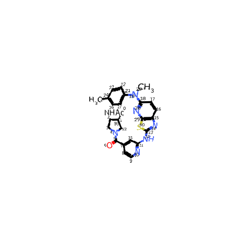 CC(=O)N[C@@H]1CCN(C(=O)c2ccnc(Nc3nc4ccc(N(C)c5ccc(C)cc5)nc4s3)c2)C1